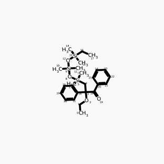 CCOC(C[Si](C)(C)O[Si](C)(C)O[Si](C)(C)CC)(C(=O)c1ccccc1)c1ccccc1